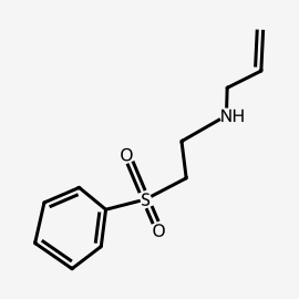 C=CCNCCS(=O)(=O)c1ccccc1